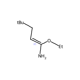 CCO/C(N)=C\CC(C)(C)C